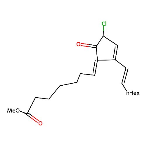 CCCCCCC=CC1=CC(Cl)C(=O)C1=CCCCCCC(=O)OC